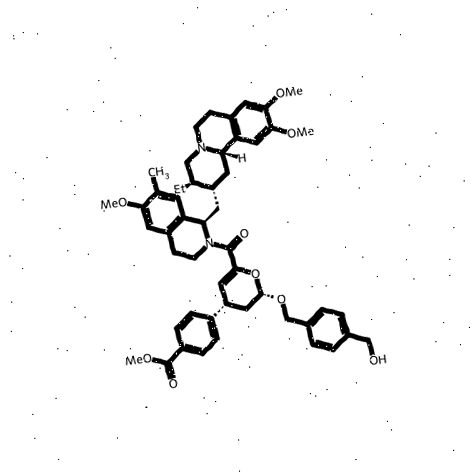 CC[C@H]1CN2CCc3cc(OC)c(OC)cc3[C@@H]2C[C@@H]1C[C@@H]1c2cc(C)c(OC)cc2CCN1C(=O)C1=C[C@@H](c2ccc(C(=O)OC)cc2)C[C@@H](OCc2ccc(CO)cc2)O1